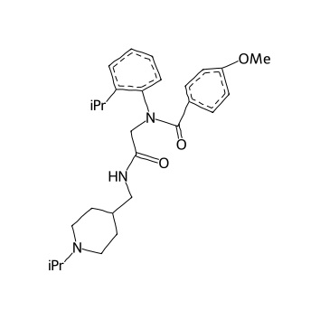 COc1ccc(C(=O)N(CC(=O)NCC2CCN(C(C)C)CC2)c2ccccc2C(C)C)cc1